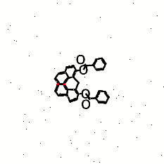 O=C(Oc1ccc2ccccc2c1Cc1c(OC(=O)c2ccccc2)ccc2ccccc12)c1ccccc1